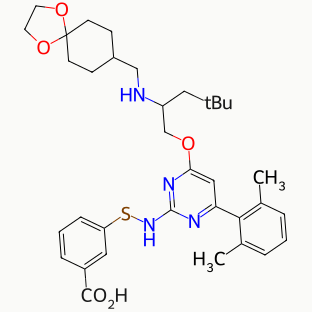 Cc1cccc(C)c1-c1cc(OCC(CC(C)(C)C)NCC2CCC3(CC2)OCCO3)nc(NSc2cccc(C(=O)O)c2)n1